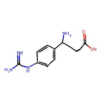 N=C(N)Nc1ccc(C(N)CC(=O)O)cc1